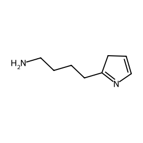 NCCCCC1=NC=CC1